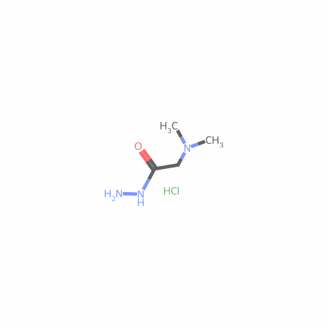 CN(C)CC(=O)NN.Cl